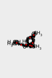 COC(=O)c1cccc(CN2CCOCCOCCN(C(c3ccc(C(=O)NCCCCCCNC(=O)OC(C)(C)C)cc3)c3cccc(C(=O)OC)n3)CCOCCOCC2)n1